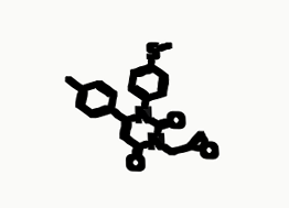 CSc1ccc(-n2c(-c3ccc(C)cc3)cc(=O)n(CC3CO3)c2=O)cc1